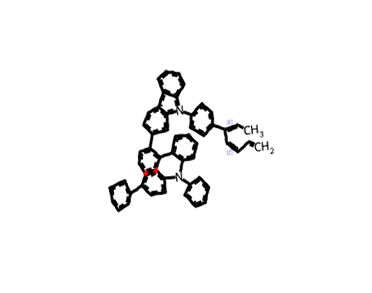 C=C/C=C\C(=C/C)c1ccc(-n2c3ccccc3c3ccc(-c4ccccc4-c4ccccc4N(c4ccccc4)c4ccc(-c5ccccc5)cc4)cc32)cc1